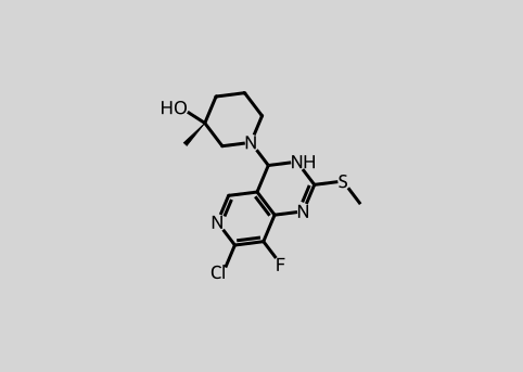 CSC1=Nc2c(cnc(Cl)c2F)C(N2CCC[C@@](C)(O)C2)N1